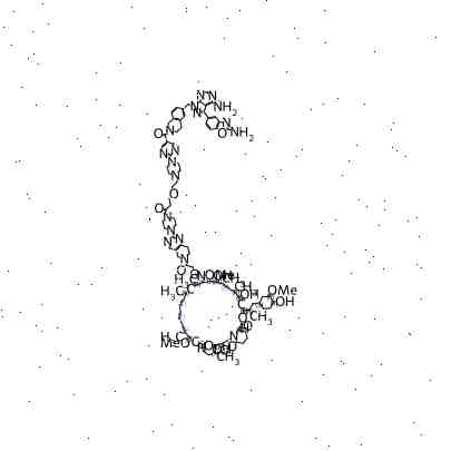 CO[C@H]1C[C@@H]2CC[C@@H](C)[C@@](O)(O2)C(=O)C(=O)N2CCCC[C@H]2C(=O)O[C@H]([C@H](C)C[C@@H]2CC[C@@H](O)[C@H](OC)C2)C[C@@H](O)[C@H](C)/C=C(\C)[C@@H](O)[C@@H](OC)/C(=N/OCC(=O)N2CCc3nc(N4CCN(C(=O)CCOCCN5CCN(c6ncc(C(=O)N7CCc8cc(Cn9nc(-c%10ccc%11oc(N)nc%11c%10)c%10c(N)ncnc%109)ccc8C7)cn6)CC5)CC4)ncc3C2)[C@H](C)C[C@H](C)/C=C/C=C/C=C/1C